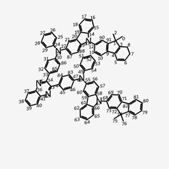 CC1(C)C2=C(C=CCC2)c2ccc(-n3c4ccccc4c4cc(N(c5ccccc5)c5ccc(-c6nc7ccccc7nc6-c6ccc(N(c7ccccc7)c7ccc8c(c7)c7ccccc7n8-c7ccc8c(c7)C(C)(C)c7ccccc7-8)cc6)cc5)ccc43)cc21